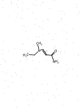 CCN(C)/C=C/C(N)=O